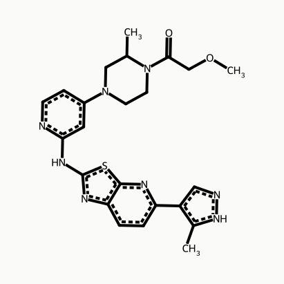 COCC(=O)N1CCN(c2ccnc(Nc3nc4ccc(-c5cn[nH]c5C)nc4s3)c2)CC1C